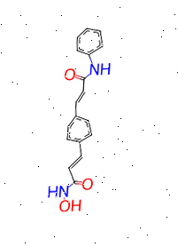 O=C(/C=C/c1ccc(/C=C/C(=O)Nc2ccccc2)cc1)NO